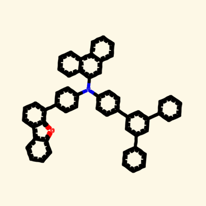 c1ccc(-c2cc(-c3ccccc3)cc(-c3ccc(N(c4ccc(-c5cccc6c5oc5ccccc56)cc4)c4cc5ccccc5c5ccccc45)cc3)c2)cc1